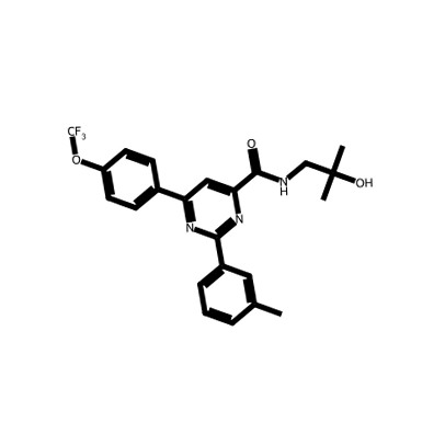 Cc1cccc(-c2nc(C(=O)NCC(C)(C)O)cc(-c3ccc(OC(F)(F)F)cc3)n2)c1